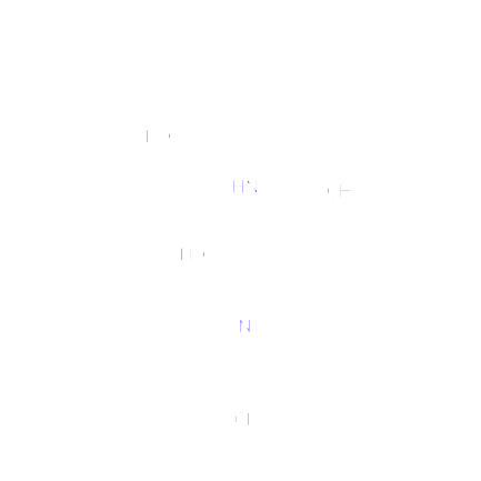 C/C(=C/C(C)=N/c1ccccc1C)Nc1ccccc1C